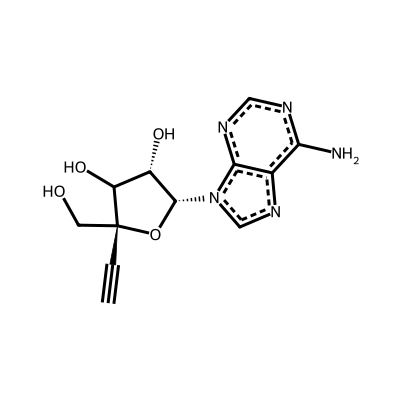 C#C[C@]1(CO)O[C@@H](n2cnc3c(N)ncnc32)[C@@H](O)C1O